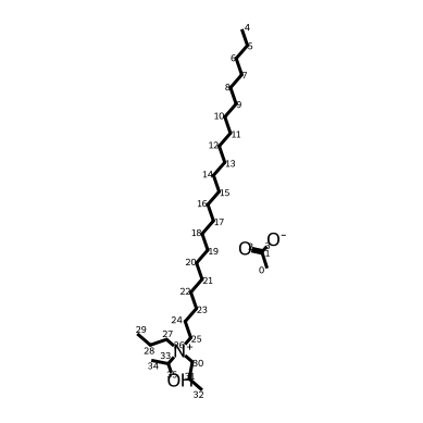 CC(=O)[O-].CCCCCCCCCCCCCCCCCCCCCC[N+](CCC)(CCC)C(C)O